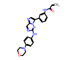 C=CC(=O)Nc1cccc(-c2cnc3cnc(Nc4ccc(N5CCOCC5)cc4)nn23)c1